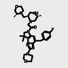 C[C@@H]1CN(CC(=O)N2CC(C)(C)c3c2cc(Cc2ccc(F)cc2)c2nc(N4CCOCC4)nn32)[C@@H](CN2CCOC[C@H]2C)CN1